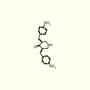 O=C1C(=Cc2ccc([N+](=O)[O-])cc2)CNCC1=Cc1ccc([N+](=O)[O-])cc1